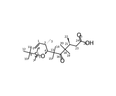 C=C[C@H](C)[C@H](O[Si](C)(C)C(C)(C)C)C(C)(C)C(=O)C(C)(C)[C@@H](C)CC(=O)O